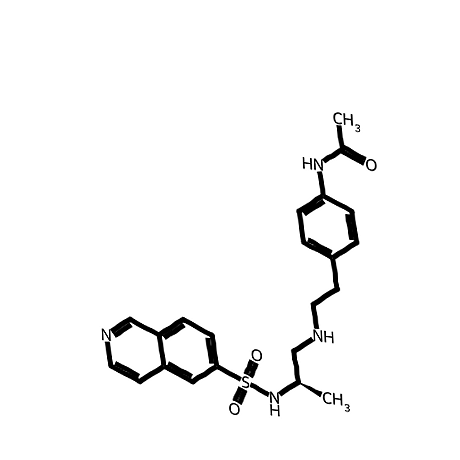 CC(=O)Nc1ccc(CCNC[C@@H](C)NS(=O)(=O)c2ccc3cnccc3c2)cc1